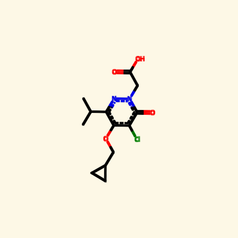 CC(C)c1nn(CC(=O)O)c(=O)c(Cl)c1OCC1CC1